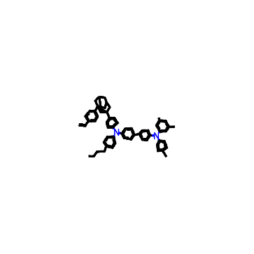 C=Cc1ccc(C23CC4CC(C2)CC(c2ccc(N(c5ccc(CCCC)cc5)c5ccc(-c6ccc(N(c7ccc(C)cc7)c7cc(C)cc(C)c7)cc6)cc5)cc2)(C4)C3)cc1